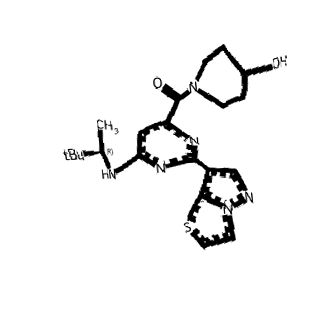 C[C@@H](Nc1cc(C(=O)N2CCC(O)CC2)nc(-c2cnn3ccsc23)n1)C(C)(C)C